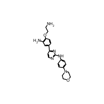 NCCOc1ccc(-c2ccnc(Nc3ccc(N4CCOCC4)cc3)n2)cc1N